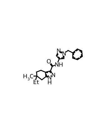 CCC1(C)CCc2c(C(=O)Nc3cnn(Cc4ccccc4)c3)n[nH]c2C1